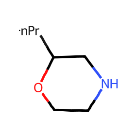 CC[CH]C1CNCCO1